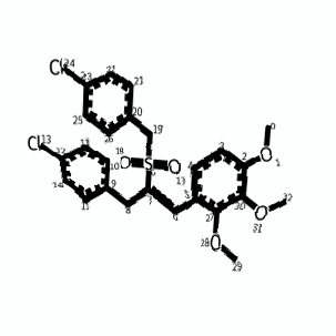 COc1ccc(C=C(Cc2ccc(Cl)cc2)S(=O)(=O)Cc2ccc(Cl)cc2)c(OC)c1OC